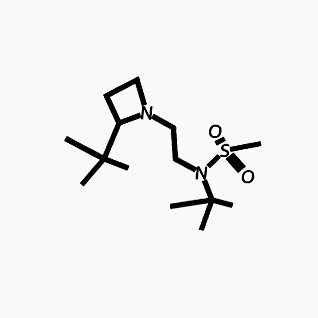 CC(C)(C)C1CCN1CCN(C(C)(C)C)S(C)(=O)=O